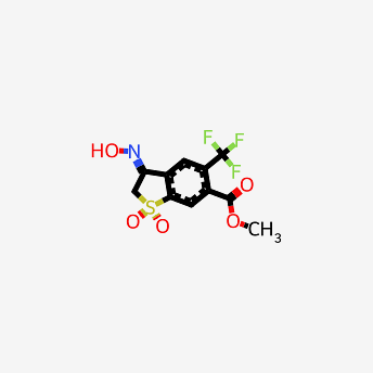 COC(=O)c1cc2c(cc1C(F)(F)F)/C(=N/O)CS2(=O)=O